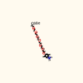 COCCOCCOCCOCCOCCOCCOCCOc1cc(C)c(N(C)C)cc1C